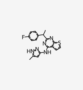 Cc1cc(Nc2nc(C(C)c3ccc(F)cc3)nc3sccc23)n[nH]1